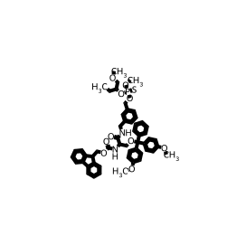 CCC(COC)OP(=S)(OC)OCc1cccc(CNC(=O)C(COC(c2ccccc2)(c2ccc(OC)cc2)c2ccc(OC)cc2)NC(=O)OCC2c3ccccc3-c3ccccc32)c1